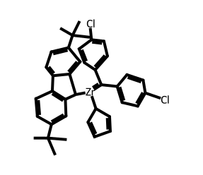 CC(C)(C)c1ccc2c(c1)[CH]([Zr](=[C](c1ccc(Cl)cc1)c1ccc(Cl)cc1)[CH]1C=CC=C1)c1cc(C(C)(C)C)ccc1-2